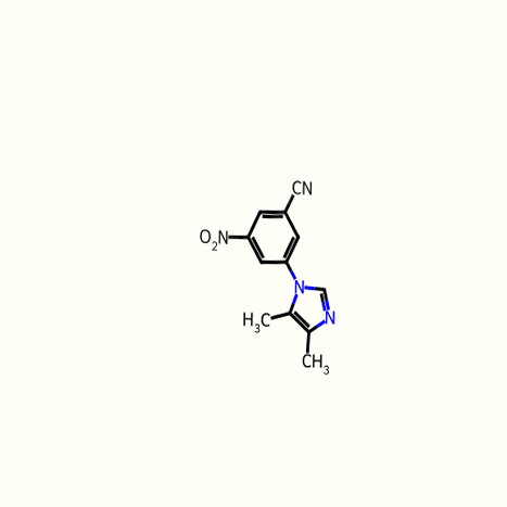 Cc1ncn(-c2cc(C#N)cc([N+](=O)[O-])c2)c1C